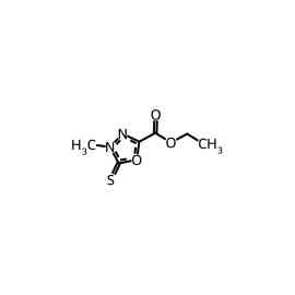 CCOC(=O)c1nn(C)c(=S)o1